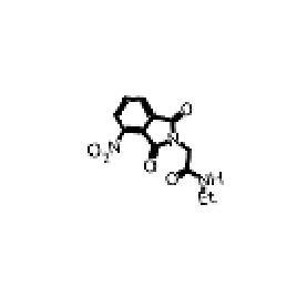 CCNC(=O)CN1C(=O)c2cccc([N+](=O)[O-])c2C1=O